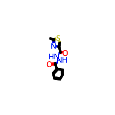 CC1=NC(C(=O)NNC(=O)c2ccccc2)CS1